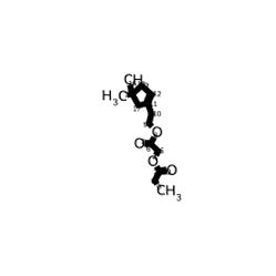 CCC(=O)OCC(=O)OCCC1=CCC(C)(C)C1